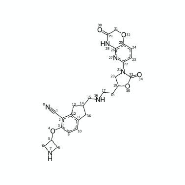 N#Cc1c(OC2CNC2)ccc2c1CC(CNCCC1CN(c3ccc4c(n3)NC(=O)CO4)C(=O)O1)C2